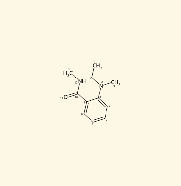 CCN(C)c1ccccc1C(=O)NC